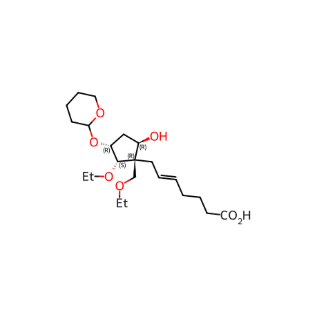 CCOC[C@]1(CC=CCCCC(=O)O)[C@H](O)C[C@@H](OC2CCCCO2)[C@H]1OCC